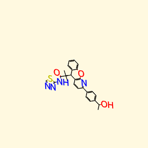 CC(O)c1ccc(-c2ccc3c(n2)Oc2ccccc2[C@@H]3C(C)(C)C(=O)Nc2nncs2)cc1